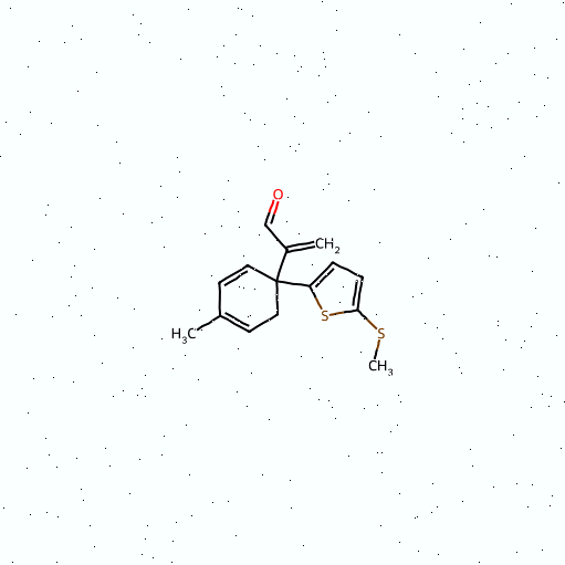 C=C(C=O)C1(c2ccc(SC)s2)C=CC(C)=CC1